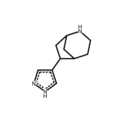 c1n[nH]cc1C1CC2CC1CCN2